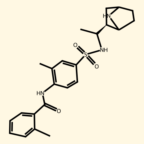 Cc1cc(S(=O)(=O)NC(C)[C@H]2CC3CCC2N3)ccc1NC(=O)c1ccccc1C